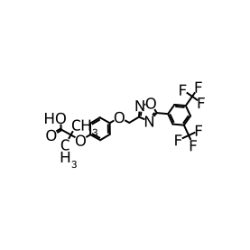 CC(C)(Oc1ccc(OCc2noc(-c3cc(C(F)(F)F)cc(C(F)(F)F)c3)n2)cc1)C(=O)O